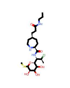 CCCNC(=O)CC[C@@H]1CCN[C@H](C(=O)N[C@H]([C@H](C)Cl)[C@H]2OC(SC)[C@H](O)C(O)C2O)CC1